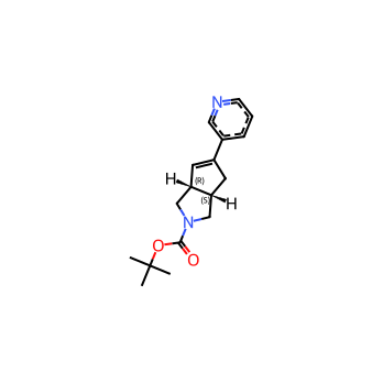 CC(C)(C)OC(=O)N1C[C@H]2CC(c3cccnc3)=C[C@H]2C1